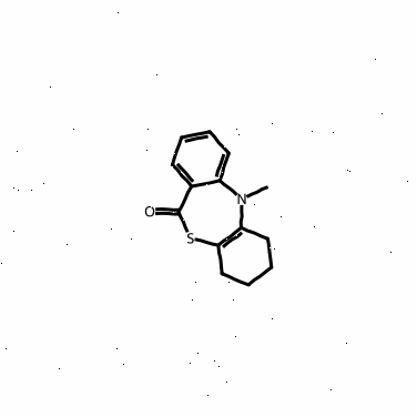 CN1C2=C(CCCC2)SC(=O)c2ccccc21